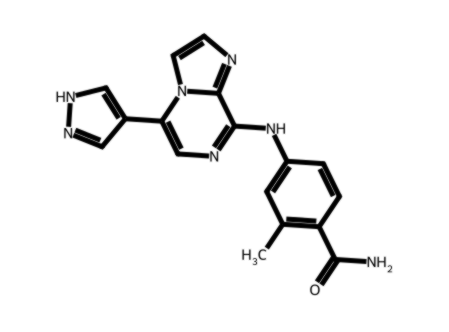 Cc1cc(Nc2ncc(-c3cn[nH]c3)n3ccnc23)ccc1C(N)=O